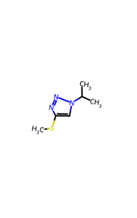 CSc1cn(C(C)C)nn1